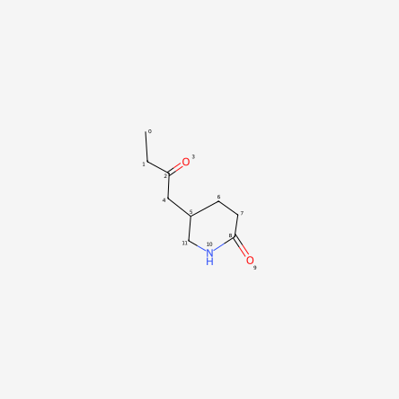 CCC(=O)CC1CCC(=O)NC1